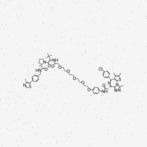 Cc1ncsc1-c1ccc(CNC(=O)[C@@H]2CCCN2C(=O)[C@@H](NC(=O)COCCOCCOCCOCCOc2ccc(NC(=O)C[C@@H]3N=C(c4ccc(Cl)cc4)c4c(sc(C)c4C)-n4c(C)nnc43)cc2)C(C)(C)C)cc1